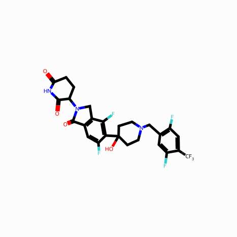 O=C1CCC(N2Cc3c(cc(F)c(C4(O)CCN(Cc5cc(F)c(C(F)(F)F)cc5F)CC4)c3F)C2=O)C(=O)N1